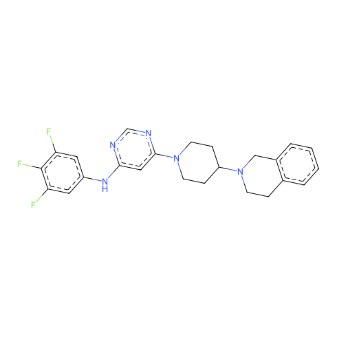 Fc1cc(Nc2cc(N3CCC(N4CCc5ccccc5C4)CC3)ncn2)cc(F)c1F